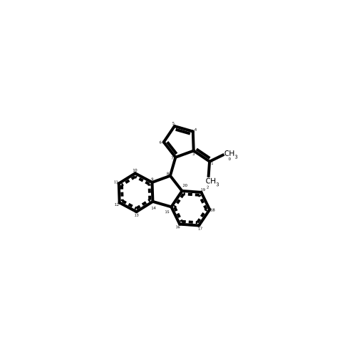 CC(C)=C1C=CC=C1C1c2[c]cccc2-c2ccccc21